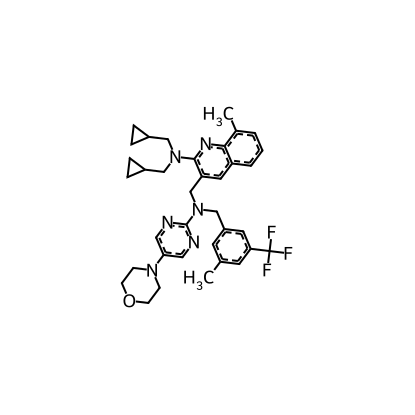 Cc1cc(CN(Cc2cc3cccc(C)c3nc2N(CC2CC2)CC2CC2)c2ncc(N3CCOCC3)cn2)cc(C(F)(F)F)c1